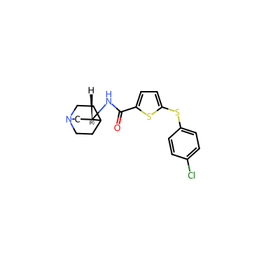 O=C(N[C@H]1CN2CCC1CC2)c1ccc(Sc2ccc(Cl)cc2)s1